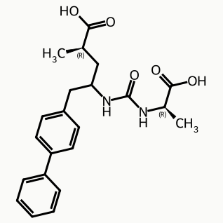 C[C@H](CC(Cc1ccc(-c2ccccc2)cc1)NC(=O)N[C@H](C)C(=O)O)C(=O)O